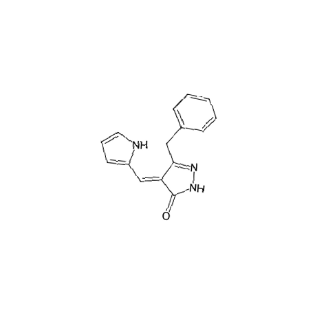 O=C1NN=C(Cc2ccccc2)/C1=C\c1ccc[nH]1